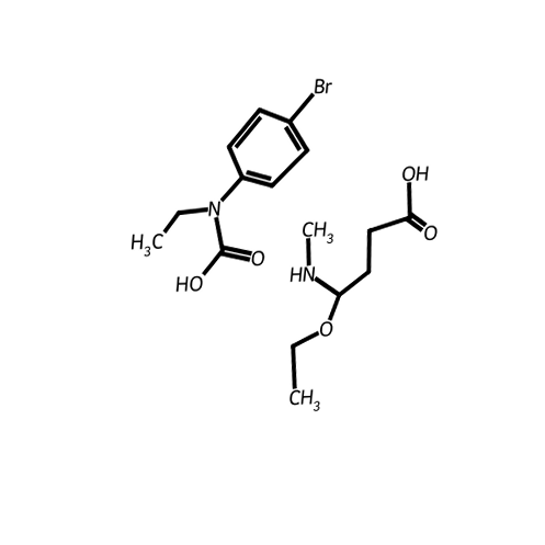 CCN(C(=O)O)c1ccc(Br)cc1.CCOC(CCC(=O)O)NC